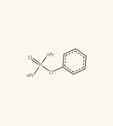 CCCP(=O)(CCC)Oc1ccccc1